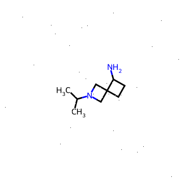 CC(C)N1CC2(CCC2N)C1